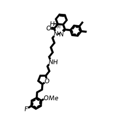 COc1ccc(F)cc1CCC1CCC(CCNCCCCCN2N=C(c3ccc(C)c(C)c3)C3CC=CC[C@H]3C2=O)O1